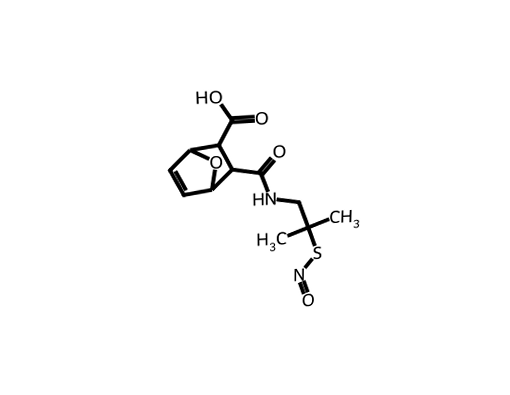 CC(C)(CNC(=O)C1C2C=CC(O2)C1C(=O)O)SN=O